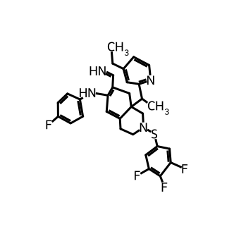 CCc1ccnc(C(C)C23CC(C=N)=C(Nc4ccc(F)cc4)C=C2CCN(Sc2cc(F)c(F)c(F)c2)C3)c1